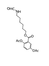 CC(=O)Oc1ccc(OC(C)=O)c(C(=O)OCCCCCCNC=O)c1